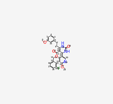 COc1cccc(CCC2=C(C(=O)OCc3cccc(F)c3)C(c3ccc(OC)nc3)NC(=O)N2)c1